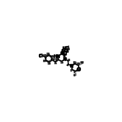 C[C@@H]1CN(CCN2CCN[C@H](Cc3ccc(Cl)cc3)C2)C[C@H](C)O1.Cl.Cl.Cl